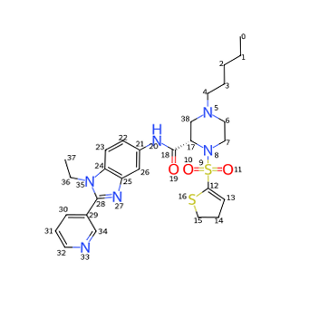 CCCCCN1CCN(S(=O)(=O)C2=CCCS2)[C@H](C(=O)Nc2ccc3c(c2)nc(-c2cccnc2)n3CC)C1